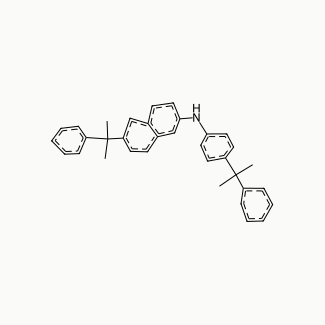 CC(C)(c1ccccc1)c1ccc(Nc2ccc3cc(C(C)(C)c4ccccc4)ccc3c2)cc1